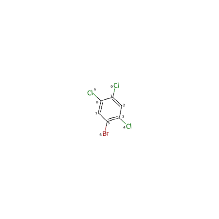 Clc1cc(Cl)c(Br)cc1Cl